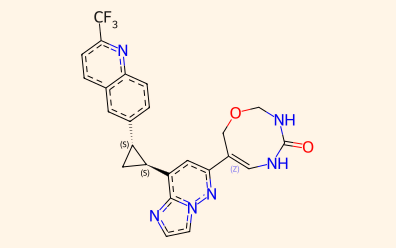 O=C1N/C=C(/c2cc([C@H]3C[C@@H]3c3ccc4nc(C(F)(F)F)ccc4c3)c3nccn3n2)COCN1